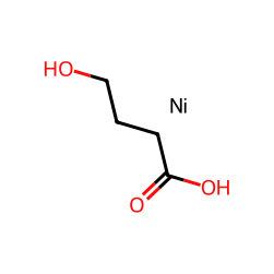 O=C(O)CCCO.[Ni]